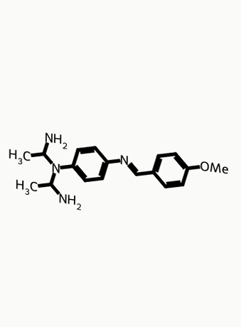 COc1ccc(C=Nc2ccc(N(C(C)N)C(C)N)cc2)cc1